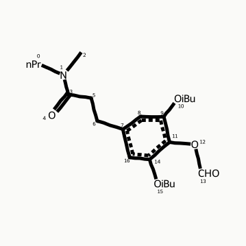 CCCN(C)C(=O)CCc1cc(OCC(C)C)c(OC=O)c(OCC(C)C)c1